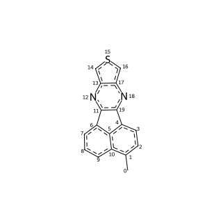 Cc1ccc2c3c(cccc13)-c1nc3cscc3nc1-2